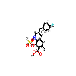 COC(=O)c1c(C)cc2cc(Cc3ccc(F)cc3)cnc2c1OS(C)(=O)=O